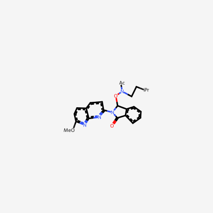 COc1ccc2ccc(N3C(=O)c4ccccc4C3ON(CCC(C)C)C(C)=O)nc2n1